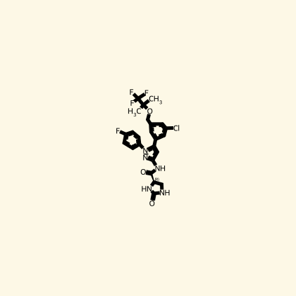 CC(C)(OCc1cc(Cl)cc(-c2cc(NC(=O)[C@H]3CNC(=O)N3)nn2-c2ccc(F)cc2)c1)C(F)(F)F